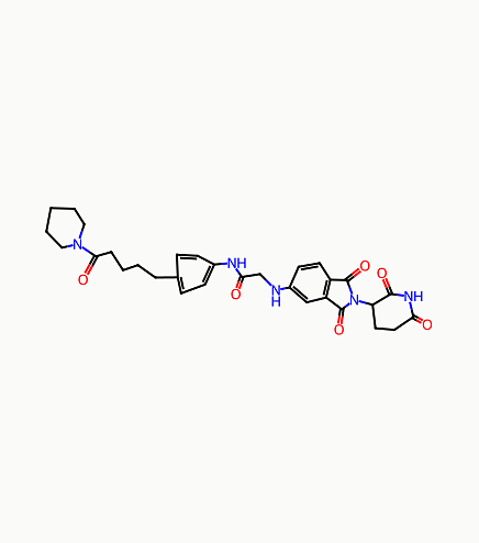 O=C1CCC(N2C(=O)c3ccc(NCC(=O)Nc4ccc(CCCCC(=O)N5CCCCC5)cc4)cc3C2=O)C(=O)N1